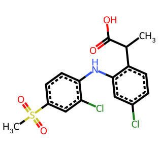 CC(C(=O)O)c1ccc(Cl)cc1Nc1ccc(S(C)(=O)=O)cc1Cl